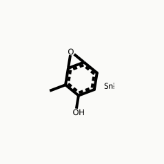 Cc1c(O)ccc2c1O2.[Sn]